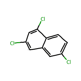 Clc1[c]c2cc(Cl)ccc2c(Cl)c1